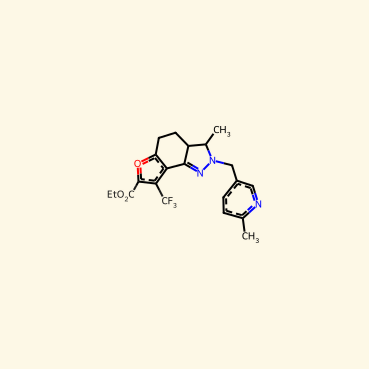 CCOC(=O)c1oc2c(c1C(F)(F)F)C1=NN(Cc3ccc(C)nc3)C(C)C1CC2